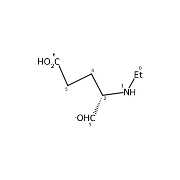 CCN[C@H]([C]=O)CCC(=O)O